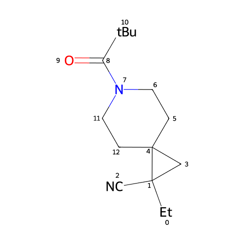 CCC1(C#N)CC12CCN(C(=O)C(C)(C)C)CC2